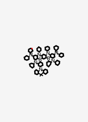 CC1(C)c2ccccc2N(c2ccc3c(c2)N(c2ccccc2)c2cc(N(c4ccccc4)c4ccccc4)cc4c2B3c2cc3c(cc2N4c2ccccc2)N(c2ccccc2)c2cc(N(c4ccccc4)c4ccccc4)cc4c2B3c2ccccc2N4c2ccccc2)c2ccccc21